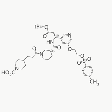 Cc1ccc(S(=O)(=O)OCCOc2cncc([C@H](CC(=O)OC(C)(C)C)NC(=O)[C@@H]3CCCN(C(=O)CCC4CCN(C(=O)O)CC4)C3)c2)cc1